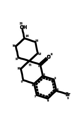 O=C1c2cc(Br)ccc2CCC12CCC(O)CC2